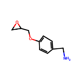 NCc1ccc(OCC2CO2)cc1